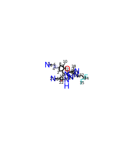 Cc1cc(/C=C/C#N)cc(C)c1Oc1nc(NC23CC(C#N)(C2)C3)nc2c1c(C)nn2CCC(F)F